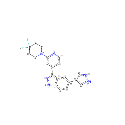 FC1(F)CCN(c2cc(-c3n[nH]c4ccc(-c5cn[nH]c5)cc34)ccn2)CC1